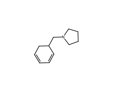 C1=CCC(CN2CCCC2)C=C1